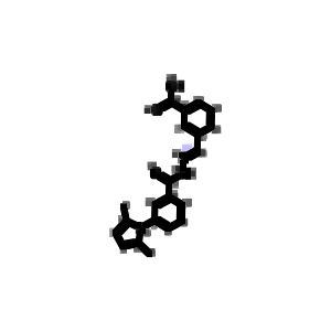 Cc1ccc(C)n1-c1cccc(C(=O)N/N=C/c2cccc(C(=O)O)c2)c1